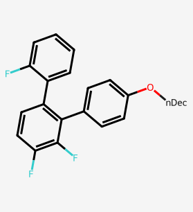 CCCCCCCCCCOc1ccc(-c2c(-c3ccccc3F)ccc(F)c2F)cc1